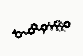 C=C/C(C(=O)Nc1ccc(Oc2ccnc3cc(OCN4CCOC5(CC5)C4)ccc23)c(F)c1)=C(/C)N(C)N(C)c1ccccc1